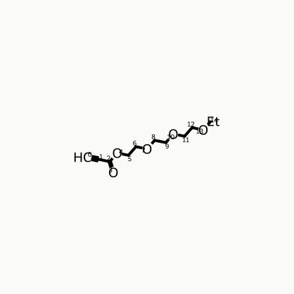 C#CC(=O)OCCOCCOCCOCC